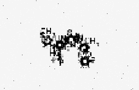 CSN1CCC(Nc2cc3[nH]c(C(=O)c4cnn(-c5cnc(Oc6c(F)cccc6F)cc5C)c4N)cc3cc2OCC(F)F)CC1